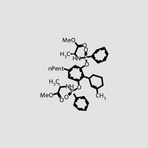 CCCCCc1cc(OP(=O)(N[C@@H](C)C(=O)OC)c2ccccc2)c(C2C=C(C)CCC2)c(OP(=O)(N[C@@H](C)C(=O)OC)c2ccccc2)c1